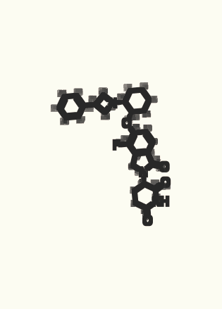 O=C1CC[C@@H](N2Cc3c(ccc(O[C@@H]4CCCC[C@@H]4N4CC(c5ccccc5)C4)c3F)C2=O)C(=O)N1